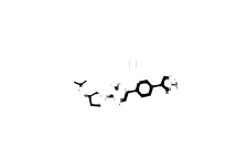 CC(C)NC1CCN(c2ncc(-c3ccc(-c4cn[nH]c4F)cc3O)nn2)C1.Cl